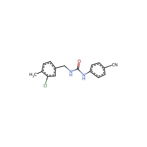 Cc1ccc(CNC(=O)Nc2ccc(C#N)cc2)cc1Cl